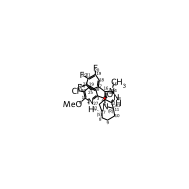 COc1nc(C(=O)N2[C@H]3CCC[C@@H]2c2nn(C)c(-c4cc(F)c(F)c(F)c4)c2C3)ccc1Cl